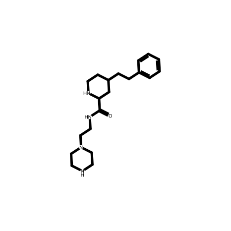 O=C(NCCN1CCNCC1)C1CC(CCc2ccccc2)CCN1